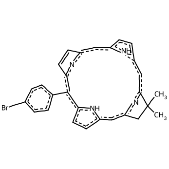 CC1(C)Cc2cc3ccc([nH]3)c(-c3ccc(Br)cc3)c3nc(cc4ccc(cc1n2)[nH]4)C=C3